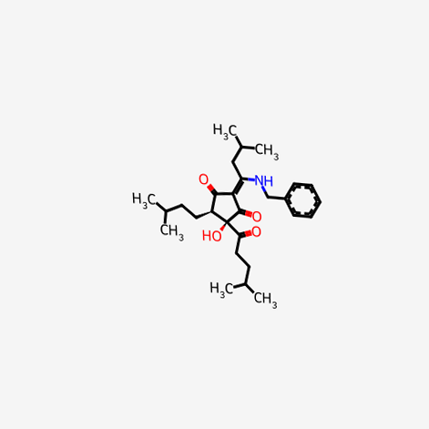 CC(C)CCC(=O)[C@@]1(O)C(=O)C(=C(CC(C)C)NCc2ccccc2)C(=O)[C@@H]1CCC(C)C